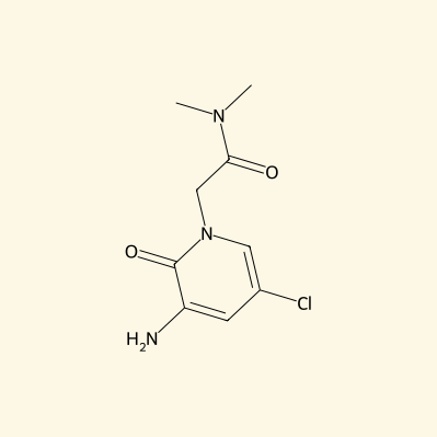 CN(C)C(=O)Cn1cc(Cl)cc(N)c1=O